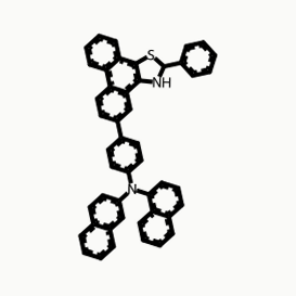 c1ccc(C2Nc3c(c4ccccc4c4ccc(-c5ccc(N(c6ccc7ccccc7c6)c6cccc7ccccc67)cc5)cc34)S2)cc1